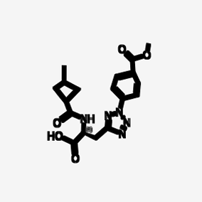 COC(=O)c1ccc(-n2nnc(C[C@H](NC(=O)C3CC(C)C3)C(=O)O)n2)cc1